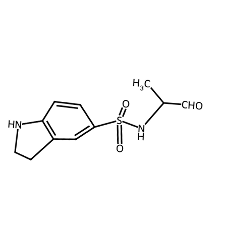 CC(C=O)NS(=O)(=O)c1ccc2c(c1)CCN2